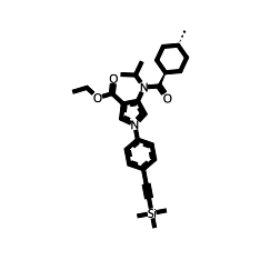 CCOC(=O)c1cn(-c2ccc(C#C[Si](C)(C)C)cc2)cc1N(C(=O)[C@H]1CC[C@H](C)CC1)C(C)C